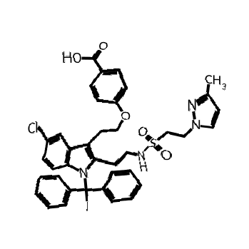 Cc1ccn(CCS(=O)(=O)NCCc2c(CCOc3ccc(C(=O)O)cc3)c3cc(Cl)ccc3n2C(I)(c2ccccc2)c2ccccc2)n1